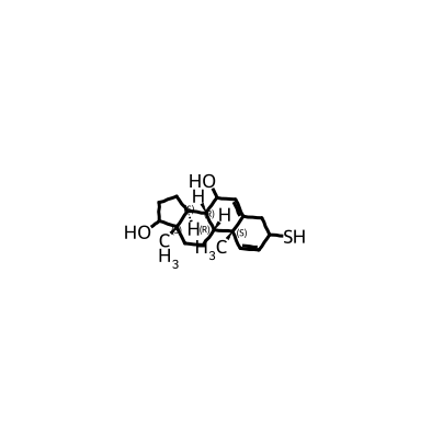 C[C@]12C=CC(S)CC1=CC(O)[C@@H]1[C@H]2CC[C@]2(C)C(O)CC[C@@H]12